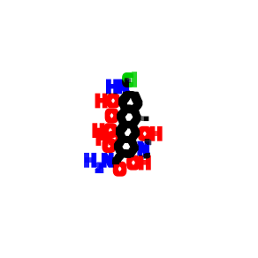 C[C@H]1c2ccc(NCl)c(O)c2C(=O)C2=C(O)[C@]3(O)C(=O)C(C(N)=O)=C(O)[C@@H](N(C)C)C3[C@@H](O)C21